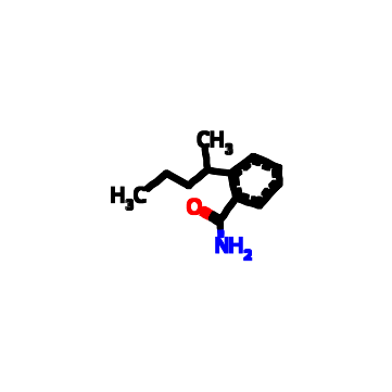 CCCC(C)c1ccccc1C(N)=O